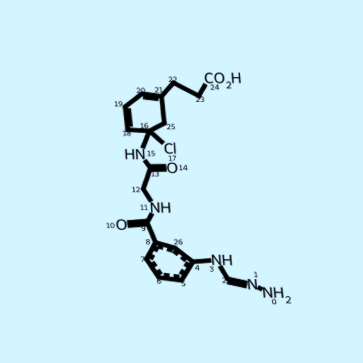 NN=CNc1cccc(C(=O)NCC(=O)NC2(Cl)C=CC=C(CCC(=O)O)C2)c1